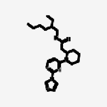 CCCCC(CC)CNC(=O)CC1CCCCN1c1ccnc(-n2ccnc2)n1